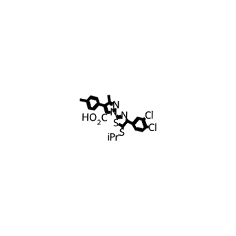 Cc1ccc(-c2c(C)nn(C3=NC(c4ccc(Cl)c(Cl)c4)C(SC(C)C)S3)c2C(=O)O)cc1